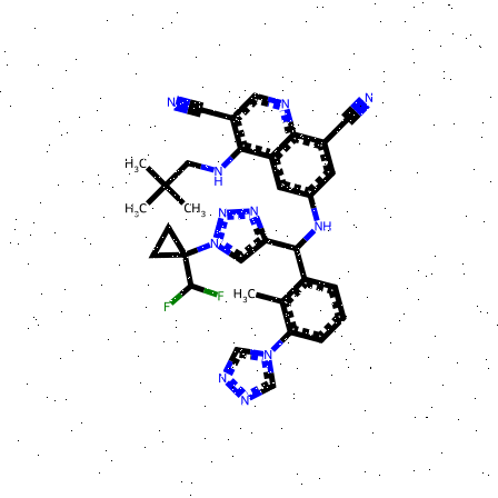 Cc1c(C(Nc2cc(C#N)c3ncc(C#N)c(NCC(C)(C)C)c3c2)c2cn(C3(C(F)F)CC3)nn2)cccc1-n1cnnc1